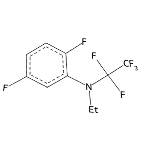 CCN(c1cc(F)ccc1F)C(F)(F)C(F)(F)F